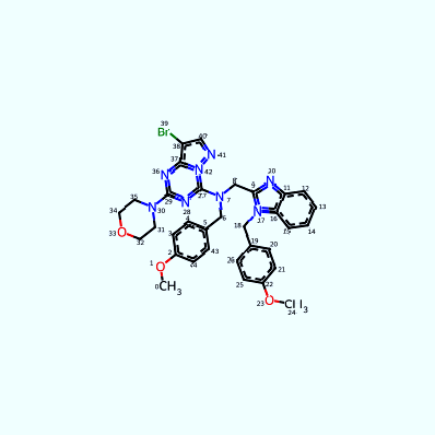 COc1ccc(CN(Cc2nc3ccccc3n2Cc2ccc(OC)cc2)c2nc(N3CCOCC3)nc3c(Br)cnn23)cc1